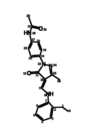 CCc1ccccc1NC=C1C(=O)N(c2ccc(NC(C)=O)cc2)N=C1C